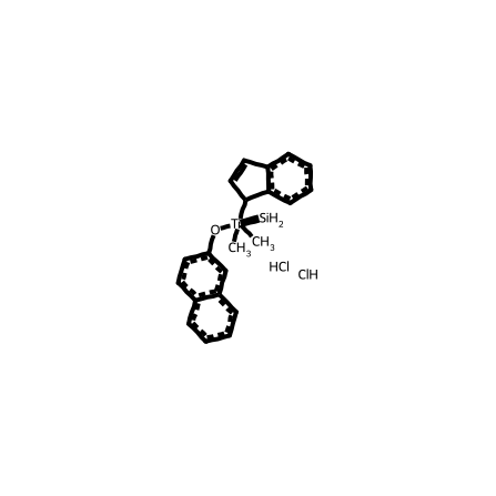 Cl.Cl.[CH3][Ti]([CH3])(=[SiH2])([O]c1ccc2ccccc2c1)[CH]1C=Cc2ccccc21